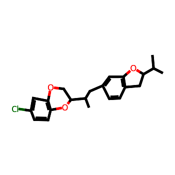 CC(C)C1Cc2ccc(CC(C)C3COc4cc(Cl)ccc4O3)cc2O1